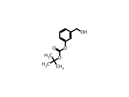 CC(C)(C)OC(=O)Oc1cccc([CH]O)c1